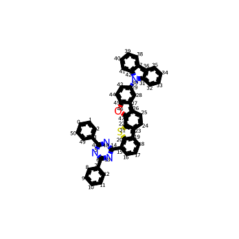 c1ccc(-c2nc(-c3ccccc3)nc(-c3cccc4c3sc3c4ccc4c5cc(-n6c7ccccc7c7ccccc76)ccc5oc43)n2)cc1